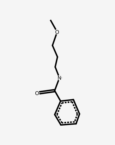 COCCC[N]C(=O)c1ccccc1